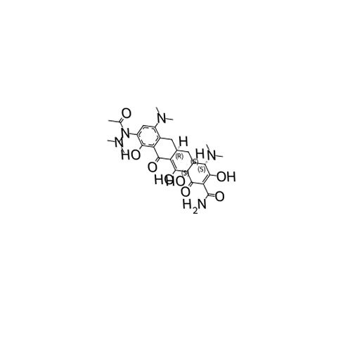 CC(=O)N(c1cc(N(C)C)c2c(c1O)C(=O)C1=C(O)[C@]3(O)C(=O)C(C(N)=O)=C(O)[C@@H](N(C)C)[C@@H]3C[C@@H]1C2)N(C)C